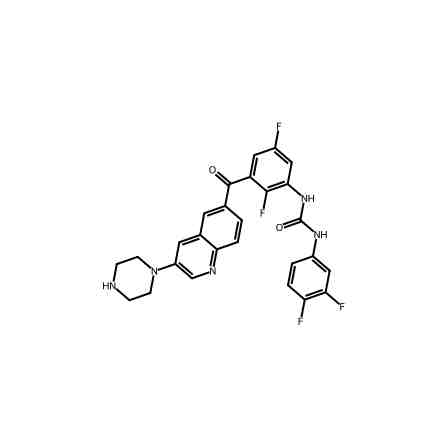 O=C(Nc1ccc(F)c(F)c1)Nc1cc(F)cc(C(=O)c2ccc3ncc(N4CCNCC4)cc3c2)c1F